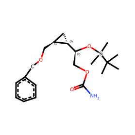 CC(C)(C)[Si](C)(C)O[C@@H](COC(N)=O)[C@H]1C[C@@H]1COCc1ccccc1